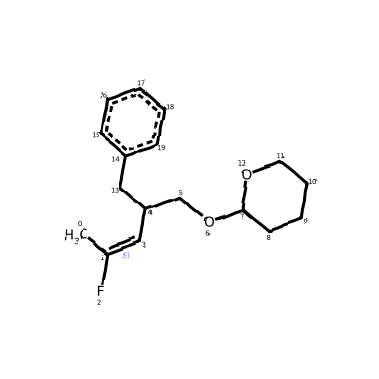 C/C(F)=C\C(COC1CCCCO1)Cc1ccccc1